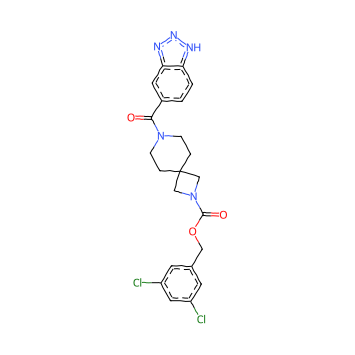 O=C(OCc1cc(Cl)cc(Cl)c1)N1CC2(CCN(C(=O)c3ccc4[nH]nnc4c3)CC2)C1